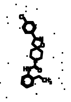 CCc1ccccc1NC(=O)N1CCC2(CC1)CC(c1ccc(Cl)cc1)=NO2